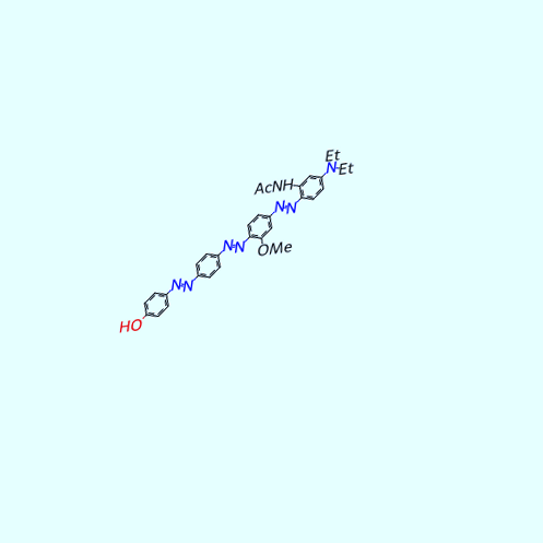 CCN(CC)c1ccc(N=Nc2ccc(N=Nc3ccc(N=Nc4ccc(O)cc4)cc3)c(OC)c2)c(NC(C)=O)c1